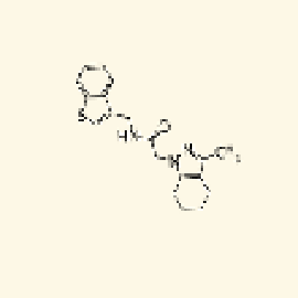 O=C(Cn1nc(C(F)(F)F)c2c1CCCC2)NCc1csc2ccccc12